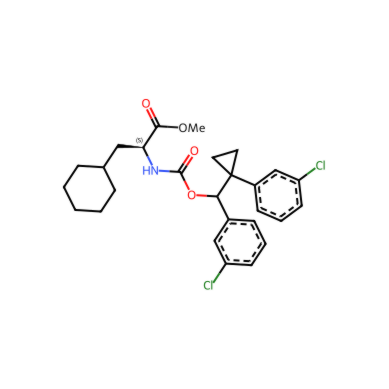 COC(=O)[C@H](CC1CCCCC1)NC(=O)OC(c1cccc(Cl)c1)C1(c2cccc(Cl)c2)CC1